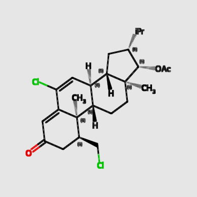 CC(=O)O[C@H]1[C@@H](C(C)C)C[C@H]2[C@@H]3C=C(Cl)C4=CC(=O)C[C@H](CCl)[C@]4(C)[C@H]3CC[C@@]21C